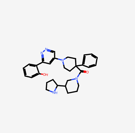 O=C(N1CCCC(C2CCCN2)C1)C1(c2ccccc2)CCN(c2cnnc(-c3ccccc3O)c2)CC1